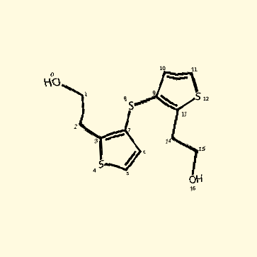 OCCc1sccc1Sc1ccsc1CCO